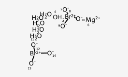 O.O.O.O.O.O.[Mg+2].[O-][Br+2]([O-])[O-].[O-][Br+2]([O-])[O-]